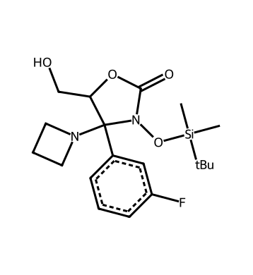 CC(C)(C)[Si](C)(C)ON1C(=O)OC(CO)C1(c1cccc(F)c1)N1CCC1